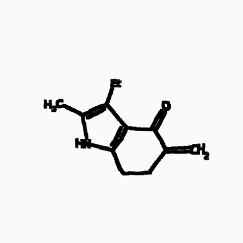 C=C1CCc2[nH]c(C)c(CC)c2C1=O